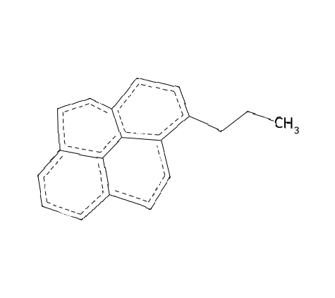 CCCc1ccc2ccc3cccc4ccc1c2c34